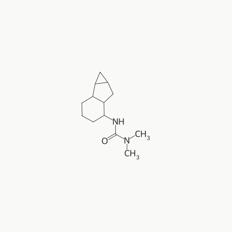 CN(C)C(=O)NC1CCCC2C3CC3CC12